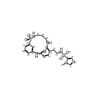 Cn1cncc1S(=O)(=O)NCCc1cnc2nc1NCCCNS(=O)(=O)c1cccc(c1)N2